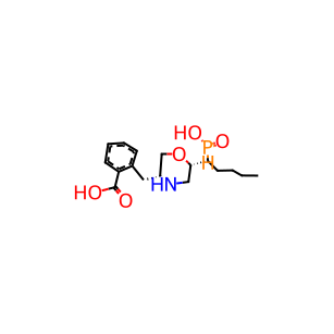 CCCCC([C@@H]1CN[C@H](Cc2ccccc2C(=O)O)CO1)[PH](=O)O